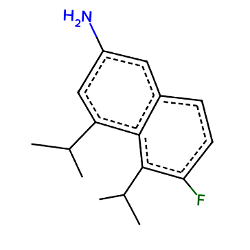 CC(C)c1cc(N)cc2ccc(F)c(C(C)C)c12